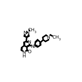 CCN1CCC(c2ccc(Nc3nc(-c4cnn(C)c4)cc4cc[nH]c(=O)c34)cc2)CC1